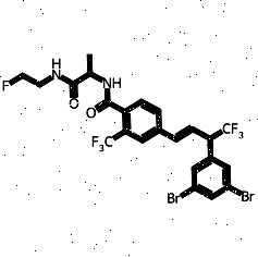 CC(NC(=O)c1ccc(/C=C/C(c2cc(Br)cc(Br)c2)C(F)(F)F)cc1C(F)(F)F)C(=O)NCCF